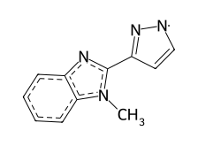 Cn1c(C2=N[N]C=C2)nc2ccccc21